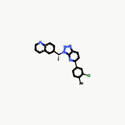 CC(=O)c1ccc(-c2ccc3nnn([C@H](C)c4ccc5ncccc5c4)c3n2)cc1Cl